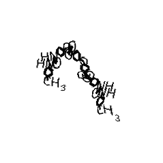 Cc1ccc(NC(=O)Nc2ccc(OS(=O)(=O)c3ccc(Oc4ccc(S(=O)(=O)Oc5ccc(NC(=O)Nc6ccc(C)cc6)cc5)cc4)cc3)cc2)cc1